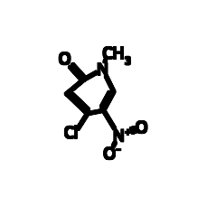 Cn1cc([N+](=O)[O-])c(Cl)cc1=O